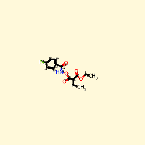 CCOC(=O)C(CC)C(=O)ONC(=O)c1ccc(F)cc1